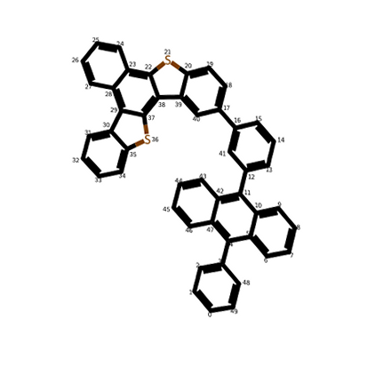 c1ccc(-c2c3ccccc3c(-c3cccc(-c4ccc5sc6c7ccccc7c7c8ccccc8sc7c6c5c4)c3)c3ccccc23)cc1